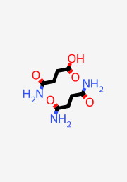 NC(=O)CCC(=O)O.NC(=O)CCC(N)=O